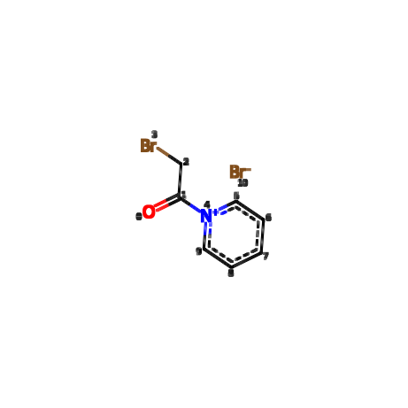 O=C(CBr)[n+]1ccccc1.[Br-]